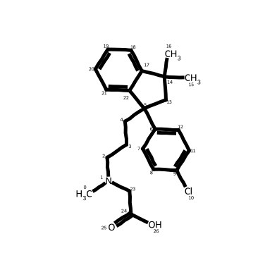 CN(CCCC1(c2ccc(Cl)cc2)CC(C)(C)c2ccccc21)CC(=O)O